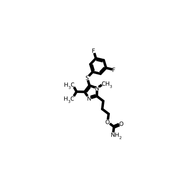 CC(C)c1nc(CCCOC(N)=O)n(C)c1Sc1cc(F)cc(F)c1